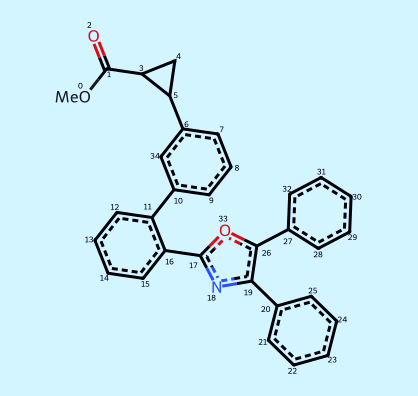 COC(=O)C1CC1c1cccc(-c2ccccc2-c2nc(-c3ccccc3)c(-c3ccccc3)o2)c1